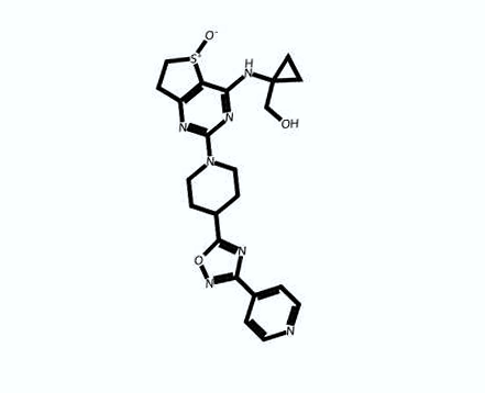 [O-][S+]1CCc2nc(N3CCC(c4nc(-c5ccncc5)no4)CC3)nc(NC3(CO)CC3)c21